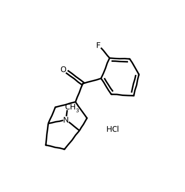 CN1C2CCC1CC(C(=O)c1ccccc1F)C2.Cl